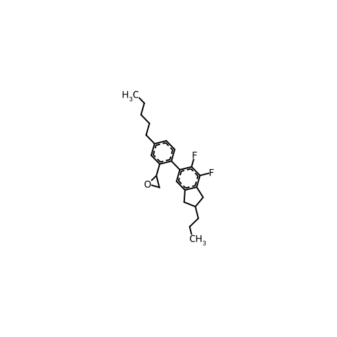 CCCCCc1ccc(-c2cc3c(c(F)c2F)CC(CCC)C3)c(C2CO2)c1